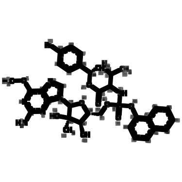 COc1nc(N)nc2c1ncn2C1O[C@H](COP(=O)(NC(C(=O)O[C@@H](C)c2ccc(Br)cc2)C(C)C)Oc2cccc3ccccc23)[C@@H](O)[C@@]1(C)O